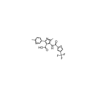 Cc1ccc(-c2nn(C)c(NC(=O)c3cc(C(F)(F)F)cs3)c2C(=O)O)cn1